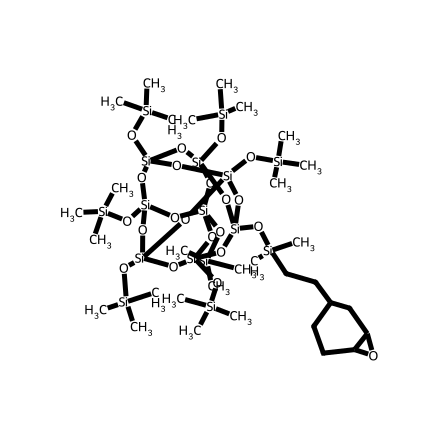 C[Si](C)(C)O[Si]12O[Si]3(O[Si](C)(C)C)O[Si]4(O[Si](C)(C)C)O[Si](O[Si](C)(C)C)(O1)O[Si]1(O[Si](C)(C)C)O[Si](O[Si](C)(C)C)(O2)O[Si](O[Si](C)(C)C)(O3)O[Si](O[Si](C)(C)CCC2CCC3OC3C2)(O4)O1